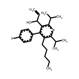 C=CC(O)c1c(C(C)C)nc(C(C)C)c(CCCCC)c1-c1ccc(F)cc1